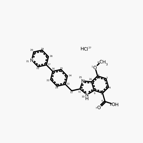 COc1ccc(C(=O)O)c2[nH]c(Cc3ccc(-c4cccnc4)cc3)nc12.Cl